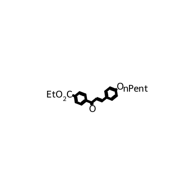 CCCCCOc1ccc(C=CC(=O)c2ccc(C(=O)OCC)cc2)cc1